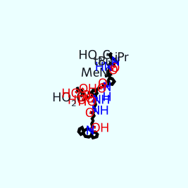 CNC(C(=O)N[C@H](C(=O)N(C)[C@H](/C=C(\C)C(=O)O)C(C)C)C(C)(C)C)C(C)(C)c1cccc(NC(=O)OCc2cc(C)c(O[C@@H](CO)OC(C(=O)O)C(O)C(C)O)c(NC(O)CCNC(=O)CCCCC(O)N3Cc4ccccc4/C=C\c4ccccc43)c2)c1